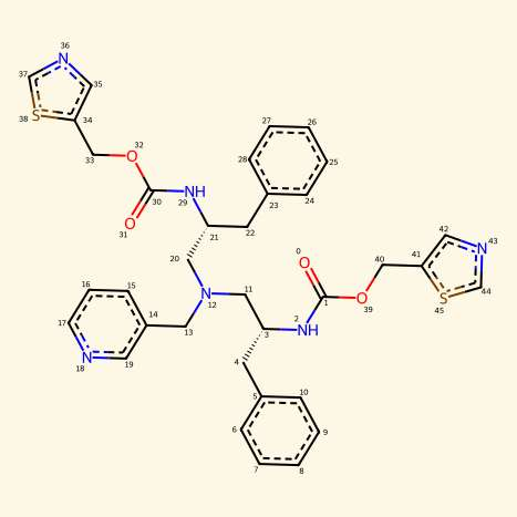 O=C(N[C@H](Cc1ccccc1)CN(Cc1cccnc1)C[C@@H](Cc1ccccc1)NC(=O)OCc1cncs1)OCc1cncs1